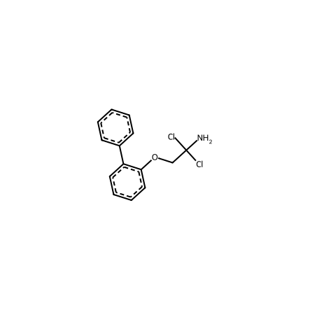 NC(Cl)(Cl)COc1ccccc1-c1ccccc1